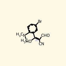 CN(C)c1ccc(Br)cc1/C(O)=C(/C#N)C=O